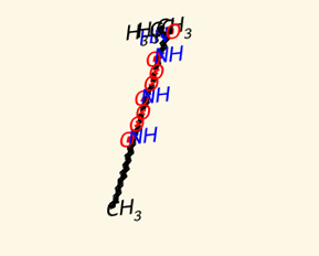 CCCCCCCCCCCCCCCCCC(=O)NCCOCCOCCC(=O)NCCOCCOCCC(=O)NCCCCC(NC(C)C)C(C)=O